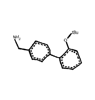 CC(C)(C)Oc1ccccc1-c1ccc(CN)cc1